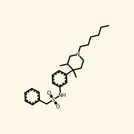 CCCCCCN1CCC(C)(c2cccc(NS(=O)(=O)Cc3ccccc3)c2)C(C)C1